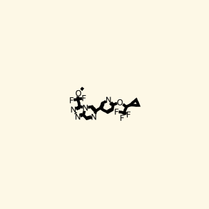 COC(F)(F)c1nnc2cnc(-c3ccc(OC(C4CC4)C(F)(F)F)nc3)cn12